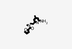 Cc1cc(N)nc(CCN(C)C(=O)c2ccco2)c1